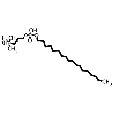 CCCCCCCCCCCCCCCCCCOP(=O)(O)OCCC[PH](C)(C)C